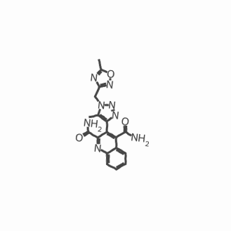 Cc1nc(Cn2nnc(-c3c(C(N)=O)nc4ccccc4c3C(N)=O)c2C)no1